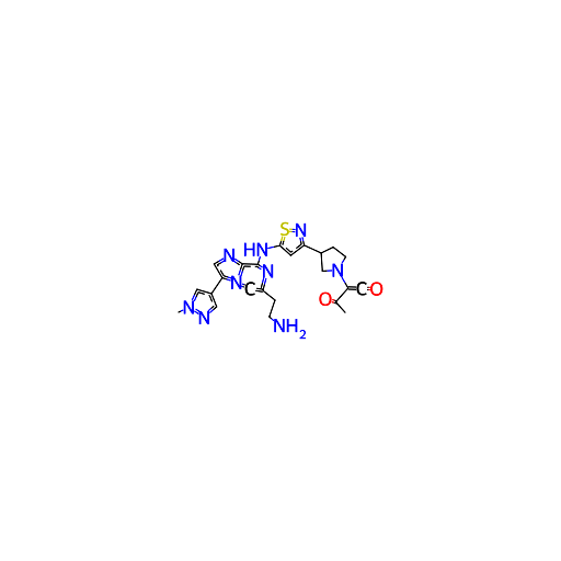 CC(=O)C(=C=O)N1CCC(c2cc(Nc3nc(CCN)cn4c(-c5cnn(C)c5)cnc34)sn2)C1